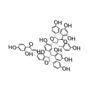 O=C(/C=C/c1ccc2c(c1)C([C@@H](c1ccc(O)cc1O)c1cc([C@@H]3O[C@H](c4ccc(O)cc4)[C@@H](C(=O)c4ccc(O)cc4O)[C@@H]3Cc3ccc(O)cc3)c(O)cc1O)[C@H](c1ccc(O)cc1)O2)c1ccc(O)cc1O